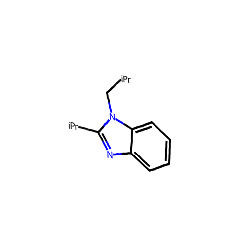 CC(C)Cn1c(C(C)C)nc2ccccc21